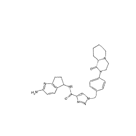 Nc1ccc2c(n1)CCC2NC(=O)c1cn(Cc2ccc(N3CCN4CCCCC4C3=O)cc2)nn1